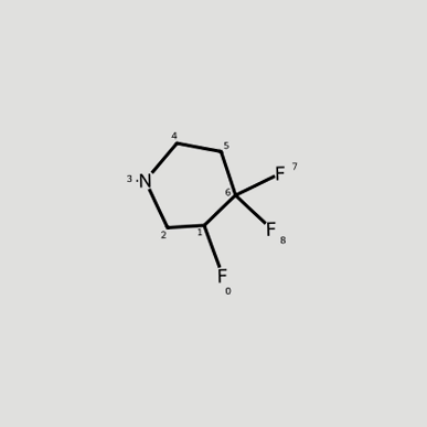 FC1C[N]CCC1(F)F